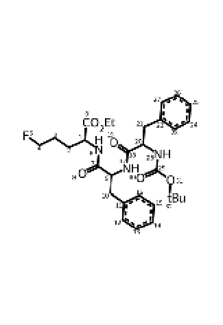 CCOC(=O)C(CCCF)NC(=O)C(Cc1ccccc1)NC(=O)C(Cc1ccccc1)NC(=O)OC(C)(C)C